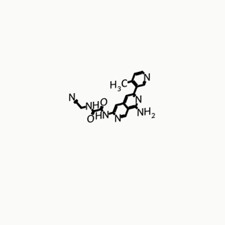 Cc1ccncc1-c1cc2cc(NC(=O)C(=O)NCC#N)ncc2c(N)n1